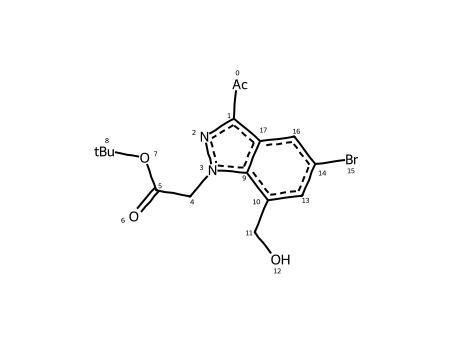 CC(=O)c1nn(CC(=O)OC(C)(C)C)c2c(CO)cc(Br)cc12